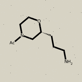 CC(=O)N1CCO[C@H](CCCN)C1